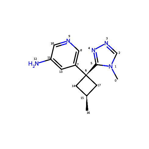 Cn1cnnc1[C@]1(c2cncc(N)c2)C[C@H](C)C1